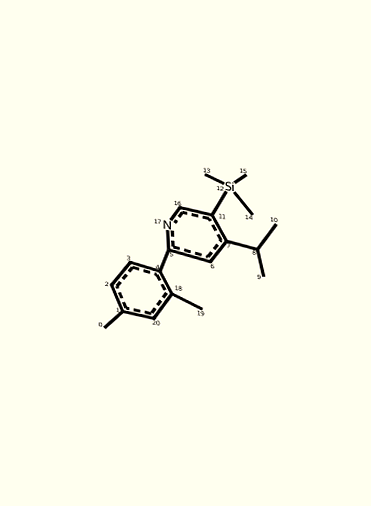 Cc1ccc(-c2cc(C(C)C)c([Si](C)(C)C)cn2)c(C)c1